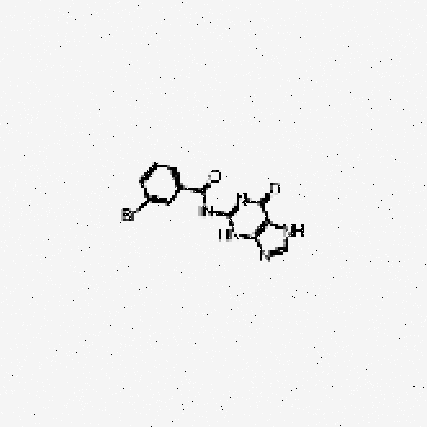 O=C(Nc1nc(=O)c2[nH]cnc2[nH]1)c1cccc(Br)c1